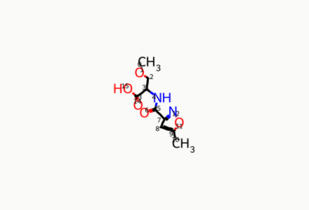 COCC(NC(=O)c1cc(C)on1)C(=O)O